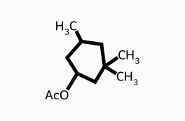 CC(=O)OC1CC(C)CC(C)(C)C1